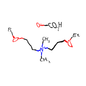 CCOCC[N+](C)(C)CCOCC.O=C([O-])O